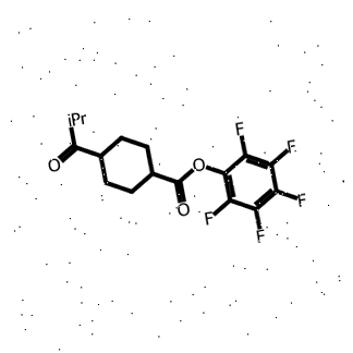 CC(C)C(=O)C1CCC(C(=O)Oc2c(F)c(F)c(F)c(F)c2F)CC1